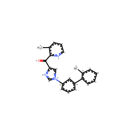 Cc1cccnc1C(=O)c1cn(-c2cccc(-c3ccccc3C#N)c2)cn1